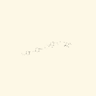 O=[N+]([O-])c1cn(CCC(O)COc2ccc(N3CCC(COc4ccc(OCc5ccc(OC(F)(F)F)cc5)cc4)CC3)cc2)c(Cl)n1